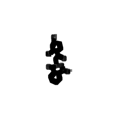 O=C(COC(=O)c1ccccc1[N+](=O)[O-])c1ccc(Cl)cc1Cl